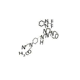 COCCN(CC#N)[C@H]1CC[C@H](CNc2nc(N3CCOCC3)cc(-n3c(C(F)F)nc4ccccc43)n2)CC1